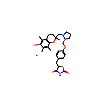 Cc1c(C)c2c(c(C)c1O)CCC(C)(CN1CCC[C@H]1COc1ccc(CC3SC(=O)NC3=O)cc1)O2.[NaH]